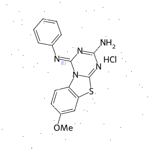 COc1ccc2c(c1)sc1nc(N)n/c(=N\c3ccccc3)n12.Cl